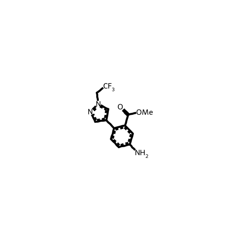 COC(=O)c1cc(N)ccc1-c1cnn(CC(F)(F)F)c1